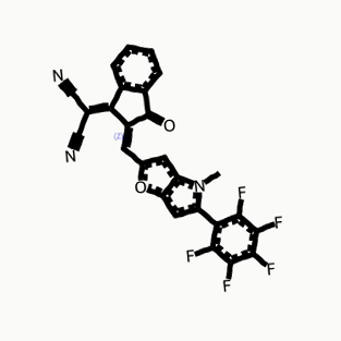 Cn1c(-c2c(F)c(F)c(F)c(F)c2F)cc2oc(/C=C3\C(=O)c4ccccc4C3=C(C#N)C#N)cc21